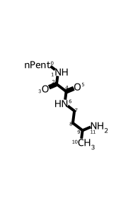 CCCCCNC(=O)C(=O)NCCC(C)N